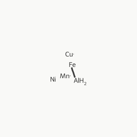 [AlH2][Fe].[Cu].[Mn].[Ni]